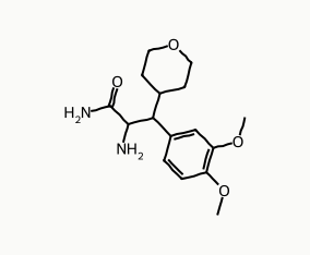 COc1ccc(C(C2CCOCC2)C(N)C(N)=O)cc1OC